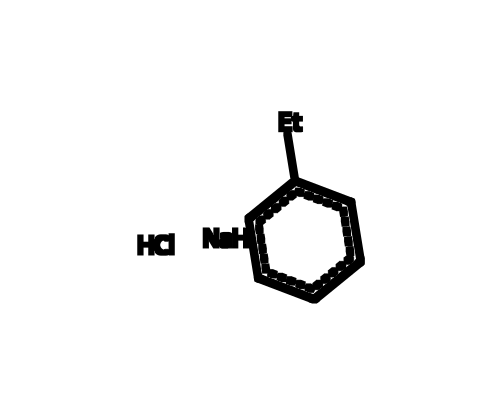 CCc1ccccc1.Cl.[NaH]